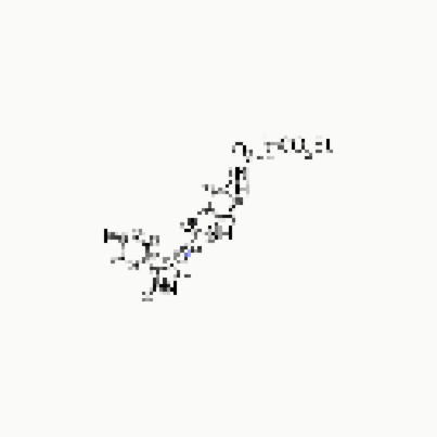 CCOC(=O)CCC(=O)NCc1ccc(NC(=O)/C=C/c2cnn(C)c2-c2ccc(F)cc2)cc1